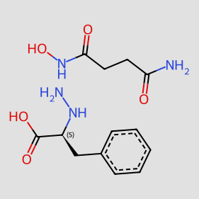 NC(=O)CCC(=O)NO.NN[C@@H](Cc1ccccc1)C(=O)O